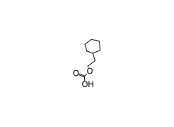 O=C(O)OCCC1CCCCC1